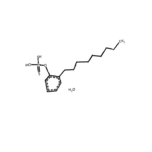 CCCCCCCCCc1ccccc1OP(O)(=S)S.O